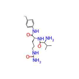 [CH2]c1ccc(NC(=O)[C@H](CCCNC(N)=O)NC(=O)[C@@H](N)C(C)C)cc1